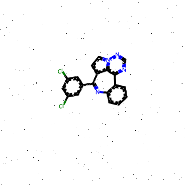 Clc1cc(Cl)cc(C2=Nc3ccccc3-c3ncnn4ccc2c34)c1